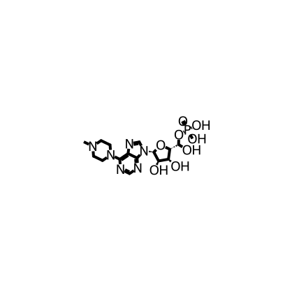 CN1CCN(c2ncnc3c2ncn3[C@@H]2O[C@H](C(O)OP(=O)(O)O)[C@@H](O)[C@H]2O)CC1